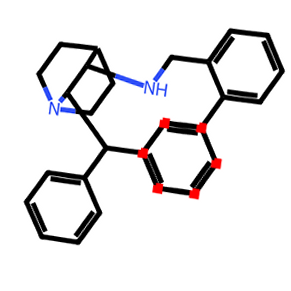 c1ccc(-c2ccccc2CNC2C3CCN(CC3)C2C(c2ccccc2)c2ccccc2)cc1